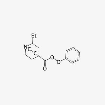 CCC1CC2(C(=O)OOc3ccccc3)CCN1CC2